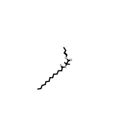 CCC=COC(=O)C(C)(C)SC(=S)CCCCCCCCCCCC